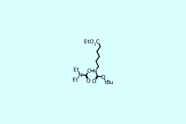 CCOC(=O)CCCCCN(OC(=O)N(CC)CC)C(=O)OC(C)(C)C